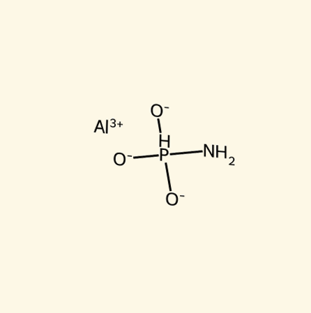 N[PH]([O-])([O-])[O-].[Al+3]